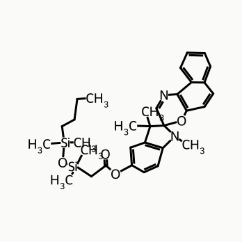 CCCC[Si](C)(C)O[Si](C)(C)CC(=O)Oc1ccc2c(c1)C(C)(C)C1(C=Nc3c(ccc4ccccc34)O1)N2C